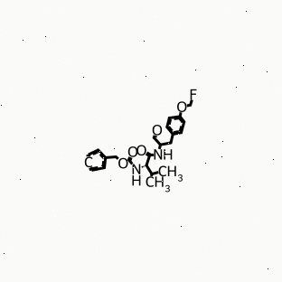 CC(C)[C@H](NC(=O)OCc1ccccc1)C(=O)NC(C=O)Cc1ccc(OCF)cc1